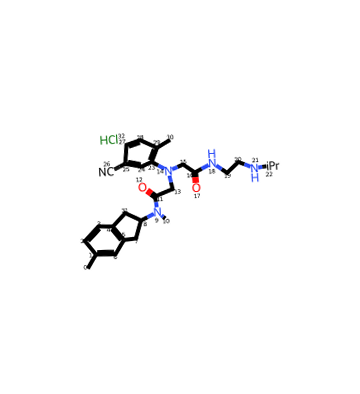 Cc1ccc2c(c1)CC(N(C)C(=O)CN(CC(=O)NCCNC(C)C)c1cc(C#N)ccc1C)C2.Cl